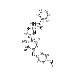 COc1ccc(Oc2cc(C)c(-c3csc(NC(=O)c4ccncc4)n3)c(F)c2F)cc1